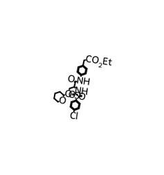 CCOC(=O)Cc1ccc(NC(=O)C(COC2CCCCO2)NS(=O)(=O)c2ccc(Cl)cc2)cc1